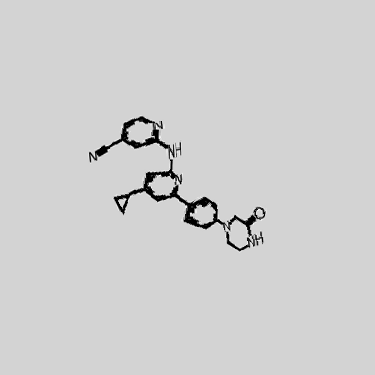 N#Cc1ccnc(Nc2cc(C3CC3)cc(-c3ccc(N4CCNC(=O)C4)cc3)n2)c1